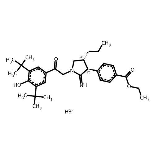 Br.CCC[C@H]1CN(CC(=O)c2cc(C(C)(C)C)c(O)c(C(C)(C)C)c2)C(=N)[C@@H]1c1ccc(C(=O)OCC)cc1